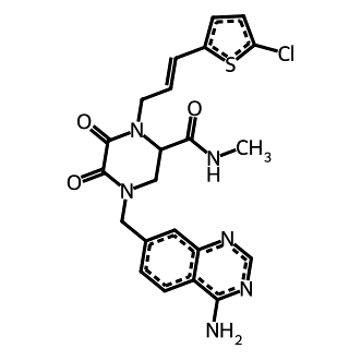 CNC(=O)C1CN(Cc2ccc3c(N)ncnc3c2)C(=O)C(=O)N1CC=Cc1ccc(Cl)s1